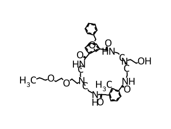 CCCOCCOCCN1CCNC(=O)c2cccc(c2C)C(=O)NCCN(CCO)CCNC(=O)c2cccc(c2OCc2ccccc2)C(=O)NCC1